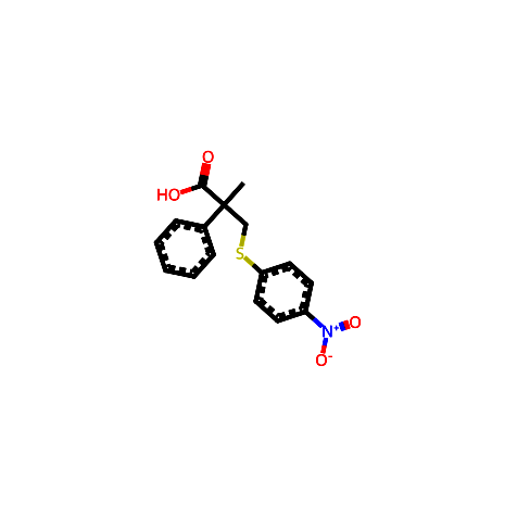 CC(CSc1ccc([N+](=O)[O-])cc1)(C(=O)O)c1ccccc1